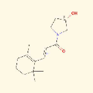 CC1=C(/C=C/C(=O)N2CC[C@H](O)C2)C(C)(C)CCC1